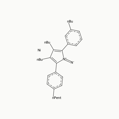 CCCCCc1ccc(C2=C(CCCC)C(CCCC)=C(c3cccc(CCCC)c3)[N+]2=[N-])cc1.[Ni]